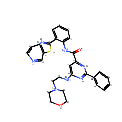 O=C(Nc1ccccc1-c1nc2ccncc2s1)c1cc(NCCN2CCOCC2)nc(-c2ccccc2)n1